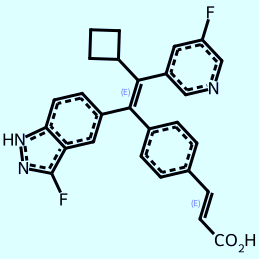 O=C(O)/C=C/c1ccc(/C(=C(\c2cncc(F)c2)C2CCC2)c2ccc3[nH]nc(F)c3c2)cc1